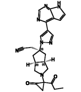 CCC(=O)C1(N2C[C@@H]3C[C@](CC#N)(n4cc(-c5ncnc6[nH]ccc56)cn4)C[C@@H]3C2)CC1=O